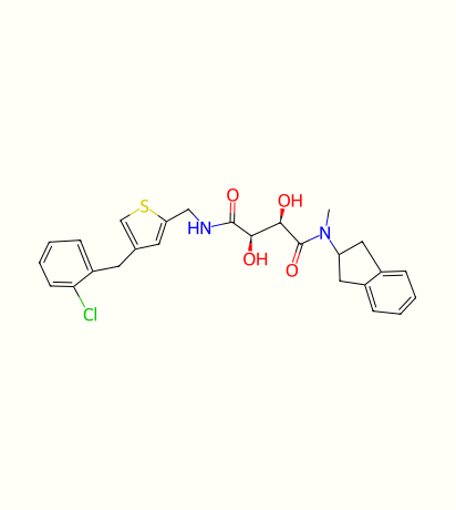 CN(C(=O)[C@H](O)[C@@H](O)C(=O)NCc1cc(Cc2ccccc2Cl)cs1)C1Cc2ccccc2C1